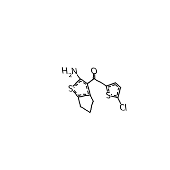 Nc1sc2c(c1C(=O)c1ccc(Cl)s1)CCC2